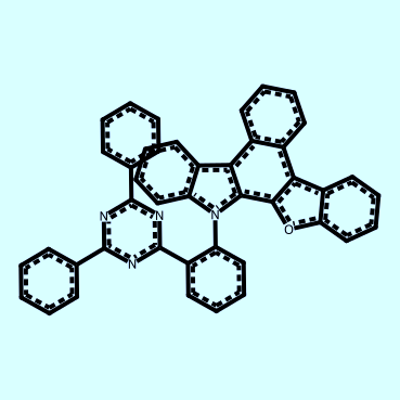 c1ccc(-c2nc(-c3ccccc3)nc(-c3ccccc3-n3c4ccccc4c4c5ccccc5c5c6ccccc6oc5c43)n2)cc1